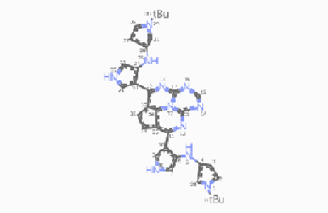 CC(C)(C)n1ccc(Nc2c[nH]cc2-c2nc3ncnc4nc(-c5c[nH]cc5Nc5ccn(C(C)(C)C)c5)c5ccc2c5n34)c1